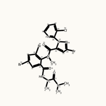 CN(C)C(=O)N(C)NC(=O)c1cc(Br)cc(Br)c1N(C)C(=O)c1cc(Br)nn1-c1ncccc1Cl